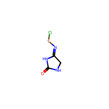 O=C1NC/C(=N/SCl)N1